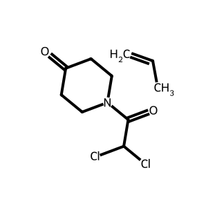 C=CC.O=C1CCN(C(=O)C(Cl)Cl)CC1